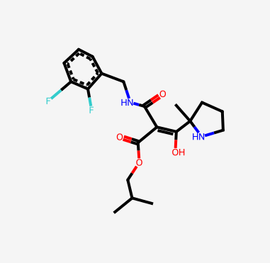 CC(C)COC(=O)/C(C(=O)NCc1cccc(F)c1F)=C(\O)C1(C)CCCN1